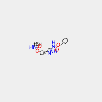 CC(C)(C)NC(=O)OC1CC[C@H](c2cc(NC(=O)OCc3ccccc3)[nH]n2)C1